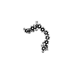 O=C1CCC(NC(=O)c2ccc(N3CCN(CC4CCN(c5ccc(-c6cnc7[nH]cc(C(=O)c8c(F)ccc(NS(=O)(=O)N9CC[C@@H](F)C9)c8F)c7c6)cc5)CC4)CC3)cc2F)C(=O)N1